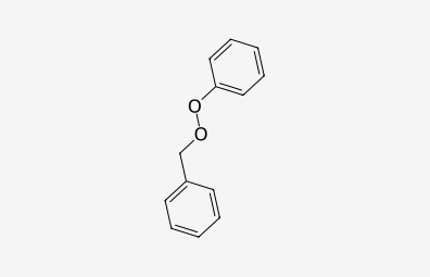 c1ccc(COOc2ccccc2)cc1